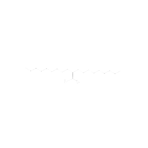 CCCCCCCCCC(CCCCCCCCC)C(Br)Br